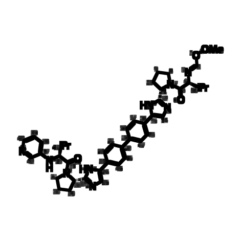 COO/C=N/[C@H](C(=O)N1CCC[C@H]1c1ncc(-c2ccc(-c3ccc(-c4cnc([C@@H]5CCCN5C(=O)[C@@H](Nc5cccnc5)C(C)C)[nH]4)cc3)cc2)[nH]1)C(C)C